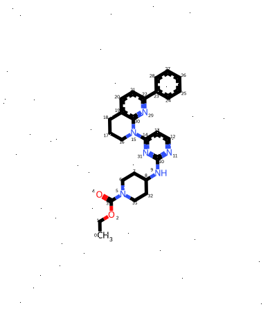 CCOC(=O)N1CCC(Nc2nccc(N3CCCc4ccc(-c5ccccc5)nc43)n2)CC1